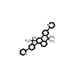 CC1(C)c2cc(-c3ccccn3)ccc2-c2c1cc1c3c(cccc23)C(C)(C)c2cc(-c3ccccn3)ccc2-1